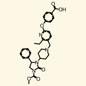 CCc1nc(Oc2ccc(C(=O)O)cc2)ccc1CN1CCC(N2C(=O)N(C(=O)OC)CC2c2ccccc2)CC1